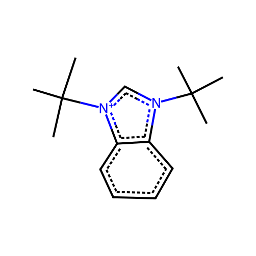 CC(C)(C)n1c[n+](C(C)(C)C)c2ccccc21